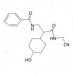 N#CCNC(=O)C(CNC(=O)c1ccccc1)C1CCC(O)CC1